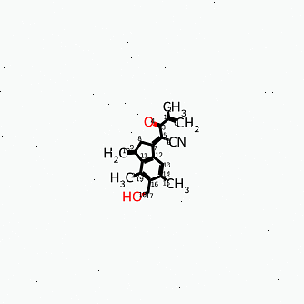 C=C(C)C(=O)/C(C#N)=C1\CC(=C)c2c1cc(C)c(CO)c2C